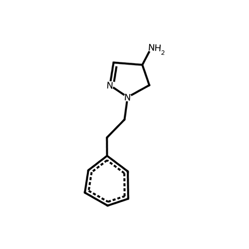 NC1C=NN(CCc2ccccc2)C1